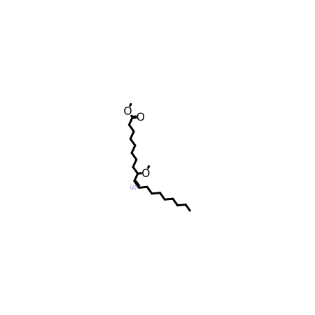 CCCCCCCC/C=C\C(CCCCCCCC(=O)OC)OC